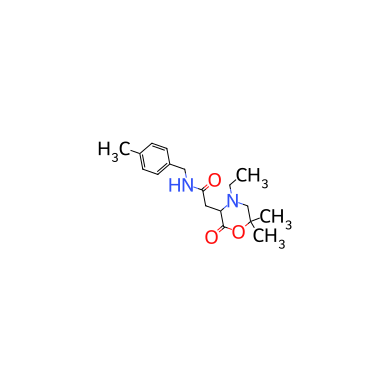 CCN1CC(C)(C)OC(=O)C1CC(=O)NCc1ccc(C)cc1